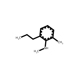 CCCc1cccc(C)c1NC